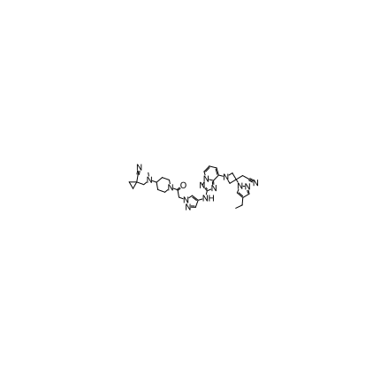 CCc1cnn(C2(CC#N)CN(c3cccn4nc(Nc5cnn(CC(=O)N6CCC(N(C)CC7(C#N)CC7)CC6)c5)nc34)C2)c1